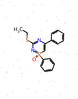 CCSC1=NC(c2ccccc2)=CS(=O)(c2ccccc2)=N1